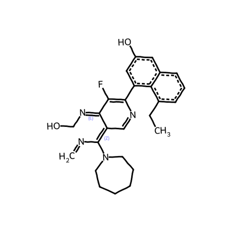 C=N/C(=C1/C=NC(c2cc(O)cc3cccc(CC)c23)=C(F)/C1=N/CO)N1CCCCCC1